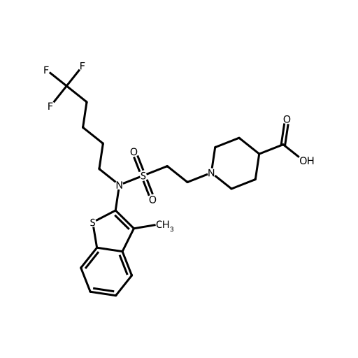 Cc1c(N(CCCCC(F)(F)F)S(=O)(=O)CCN2CCC(C(=O)O)CC2)sc2ccccc12